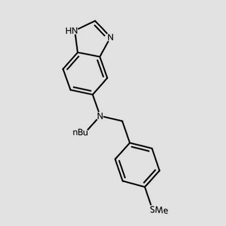 CCCCN(Cc1ccc(SC)cc1)c1ccc2[nH]cnc2c1